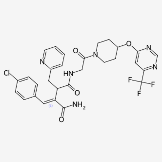 NC(=O)/C(=C/c1ccc(Cl)cc1)C(Cc1ccccn1)C(=O)NCC(=O)N1CCC(Oc2cc(C(F)(F)F)ncn2)CC1